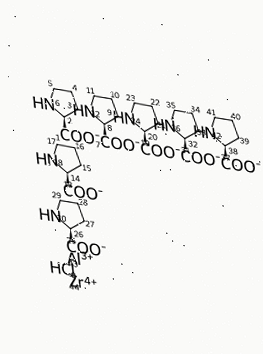 Cl.O=C([O-])[C@@H]1CCCN1.O=C([O-])[C@@H]1CCCN1.O=C([O-])[C@@H]1CCCN1.O=C([O-])[C@@H]1CCCN1.O=C([O-])[C@@H]1CCCN1.O=C([O-])[C@@H]1CCCN1.O=C([O-])[C@@H]1CCCN1.[Al+3].[Zr+4]